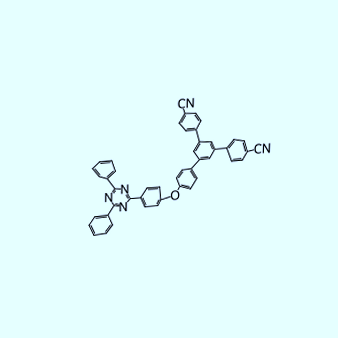 N#Cc1ccc(-c2cc(-c3ccc(C#N)cc3)cc(-c3ccc(Oc4ccc(-c5nc(-c6ccccc6)nc(-c6ccccc6)n5)cc4)cc3)c2)cc1